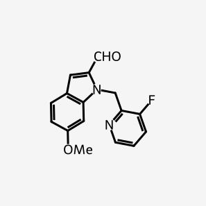 COc1ccc2cc(C=O)n(Cc3ncccc3F)c2c1